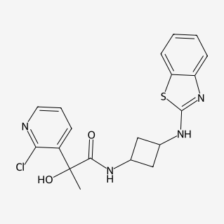 CC(O)(C(=O)NC1CC(Nc2nc3ccccc3s2)C1)c1cccnc1Cl